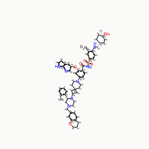 CC(C)c1ccccc1[C@@H]1CN(Cc2ccc3c(c2)OCCC3)CCN1C1CC2(CCN(c3ccc(C(=O)NS(=O)(=O)c4ccc(NC[C@H]5CC[C@](C)(O)CC5)c([N+](=O)[O-])c4)c(Oc4cnc5[nH]ccc5c4)c3)CC2)C1